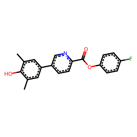 Cc1cc(-c2ccc(C(=O)Oc3ccc(F)cc3)nc2)cc(C)c1O